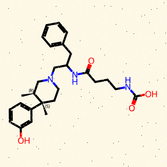 C[C@H]1CN(CC(Cc2ccccc2)NC(=O)CCCNC(=O)O)CC[C@]1(C)c1cccc(O)c1